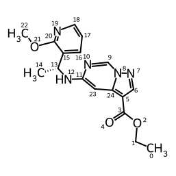 CCOC(=O)c1cnn2cnc(N[C@H](C)c3cccnc3OC)cc12